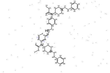 C=C(CC)N(C(/C=C\C)=C/C=C/PCc1ccc(N(C(=C)CC)C2CCN(CCc3ccccc3)CC2)cc1)C1CCN(CCc2ccccc2)CC1